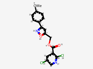 COc1ccc(-c2cc(COC(=O)c3cc(Cl)cnc3Cl)on2)cc1